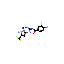 CC(C)(C)N/C(=N/C(=O)c1ccc(Cl)c(F)c1)Nc1cc(C(F)F)[nH]n1